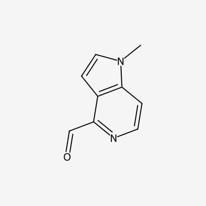 Cn1ccc2c(C=O)nccc21